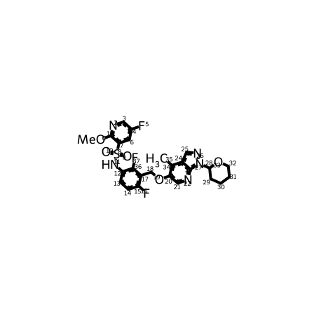 COc1ncc(F)cc1S(=O)(=O)Nc1ccc(F)c(COc2cnc3c(cnn3C3CCCCO3)c2C)c1F